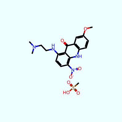 COc1ccc2[nH]c3c([N+](=O)[O-])ccc(NCCN(C)C)c3c(=O)c2c1.CS(=O)(=O)O